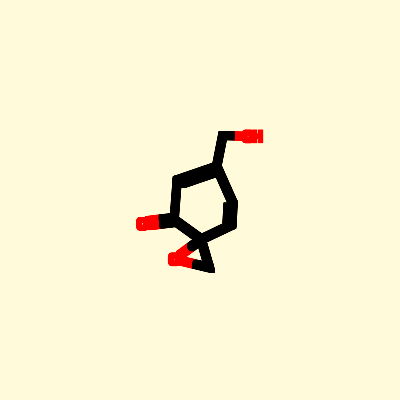 O=C1C=C(CO)C=CC12CO2